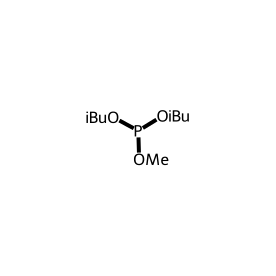 COP(OCC(C)C)OCC(C)C